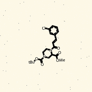 COC(=O)C1CN(C(=O)OC(C)(C)C)CCN1C(=O)/C=C/c1cccc(Cl)c1